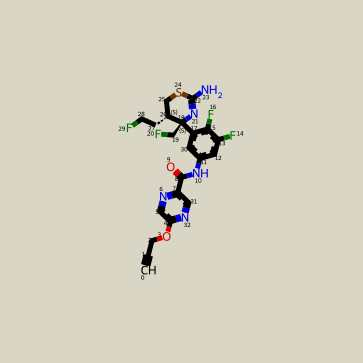 C#CCOc1cnc(C(=O)Nc2cc(F)c(F)c([C@@]3(CF)N=C(N)SC[C@H]3CCF)c2)cn1